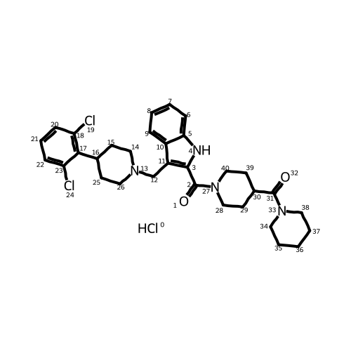 Cl.O=C(c1[nH]c2ccccc2c1CN1CCC(c2c(Cl)cccc2Cl)CC1)N1CCC(C(=O)N2CCCCC2)CC1